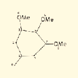 [CH2]C1CC(OC)C(OC)C(OC)C1